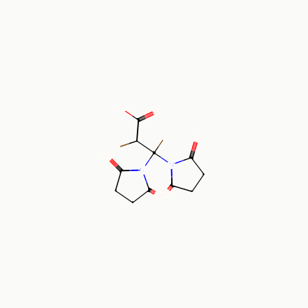 O=C(O)C(S)C(S)(N1C(=O)CCC1=O)N1C(=O)CCC1=O